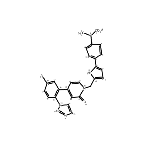 CN(C(=O)O)c1ccc(-c2cnc(Cn3ccc(-c4cc(Cl)ccc4-n4cnnn4)cc3=O)[nH]2)nc1